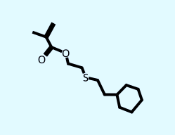 C=C(C)C(=O)OCCSCCC1CCCCC1